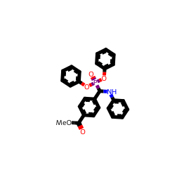 COC(=O)c1ccc(C(Nc2ccccc2)P(=O)(Oc2ccccc2)Oc2ccccc2)cc1